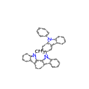 Cn1c2ccccc2c2ccc3c4ccccc4n(-c4ccc5c(c4)c4ccccc4n5-c4ccccc4)c3c21